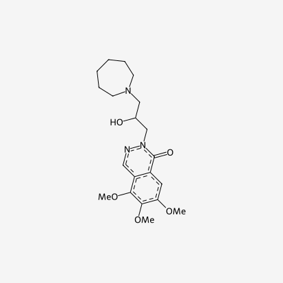 COc1cc2c(=O)n(CC(O)CN3CCCCCC3)ncc2c(OC)c1OC